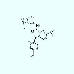 Cc1nc(C2CC2)ccc1Oc1nnc(C(F)(F)F)c(C)c1C(=O)Nc1cccc(S(C)(=O)=O)c1